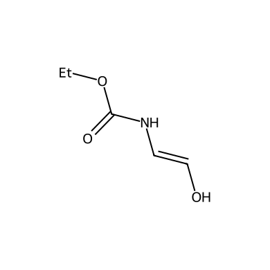 CCOC(=O)NC=CO